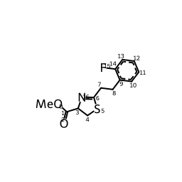 COC(=O)C1CSC(CCc2ccccc2F)=N1